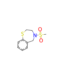 CS(=O)(=O)N1CCSc2ccccc2C1